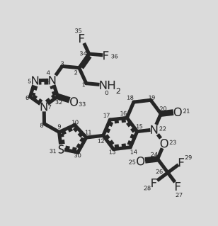 NCC(Cn1ncn(Cc2cc(-c3ccc4c(c3)CCC(=O)N4OC(=O)C(F)(F)F)cs2)c1=O)=C(F)F